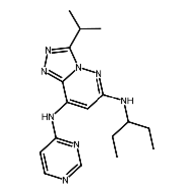 CCC(CC)Nc1cc(Nc2ccncn2)c2nnc(C(C)C)n2n1